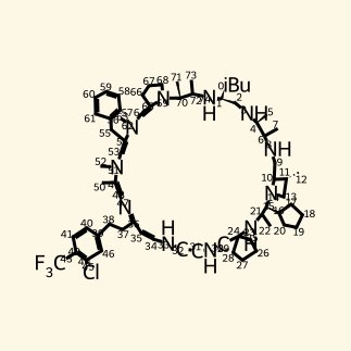 CC[C@H](C)[C@H]1CN[C@@H](C)C(C)NCC2[C@H](C)CN2[C@@H](C2CCCC2)C(C)NC2(CCCC2)CNCCNC=CC(CCc2ccc(C(F)(F)F)c(Cl)c2)=NC=C(C)N(C)C=C(Cc2ccccc2)N(C)C=C2CCCN2[C@@H](C)C(C)N1